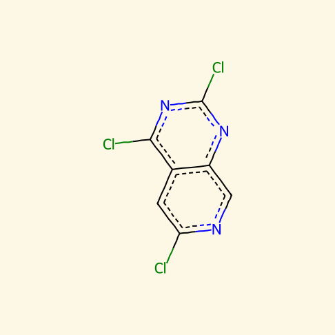 Clc1cc2c(Cl)nc(Cl)nc2cn1